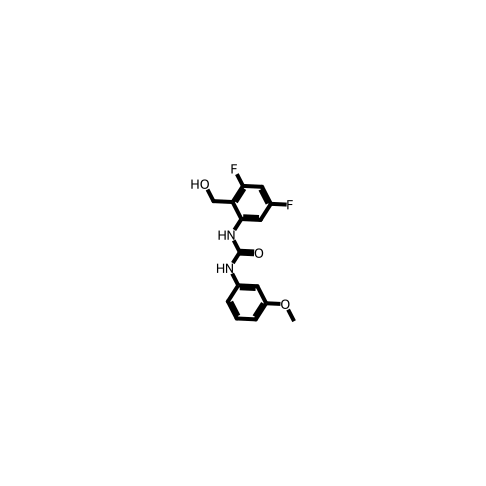 COc1cccc(NC(=O)Nc2cc(F)cc(F)c2CO)c1